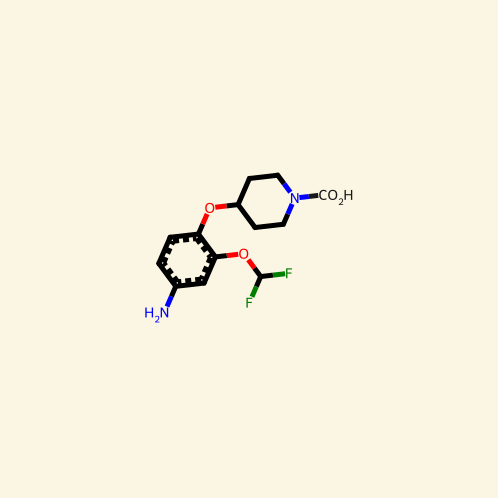 Nc1ccc(OC2CCN(C(=O)O)CC2)c(OC(F)F)c1